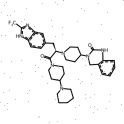 O=C([C@@H](Cc1ccc2[nH]c(C(F)(F)F)nc2c1)N1CCC(N2Cc3ccccc3NC2=O)CC1)N1CCC(N2CCCCC2)CC1